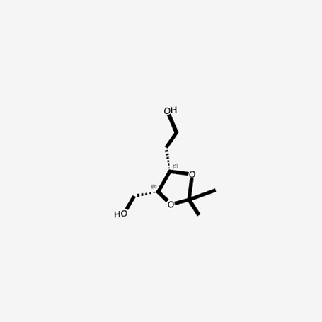 CC1(C)O[C@@H](CCO)[C@@H](CO)O1